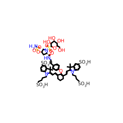 CC1(C)C(/C=C/C2=C(Oc3ccc(CCNC(=O)[C@@H]4C[C@@H](OS(N)(=O)=O)CN4S(=O)(=O)[C@@H]4OC(CO)[C@@H](O)[C@H](O)C4O)cc3)C(=C/C=C3/N(CCCCS(=O)(=O)O)c4ccc(S(=O)(=O)O)cc4C3(C)C)/CCC2)=[N+](CCCCS(=O)(=O)O)c2ccc(S(=O)(=O)O)cc21